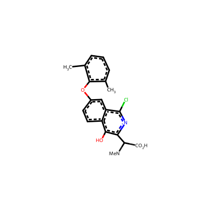 CNC(C(=O)O)c1nc(Cl)c2cc(Oc3c(C)cccc3C)ccc2c1O